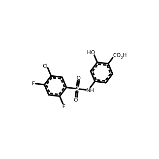 O=C(O)c1ccc(NS(=O)(=O)c2cc(Cl)c(F)cc2F)cc1O